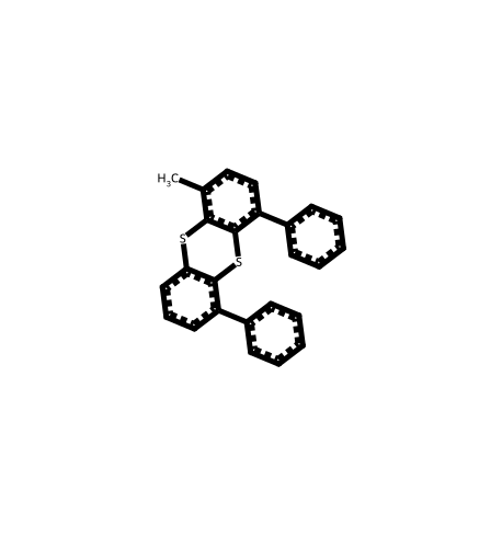 Cc1ccc(-c2ccccc2)c2c1Sc1cccc(-c3ccccc3)c1S2